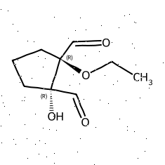 CCO[C@]1(C=O)CCC[C@]1(O)C=O